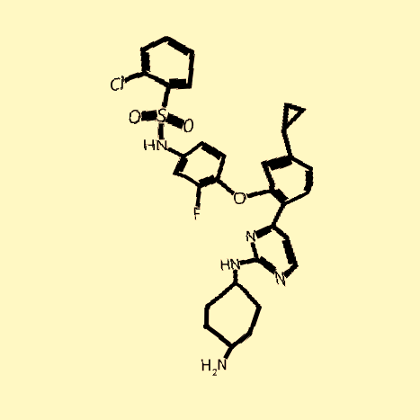 NC1CCC(Nc2nccc(-c3ccc(C4CC4)cc3Oc3ccc(NS(=O)(=O)c4ccccc4Cl)cc3F)n2)CC1